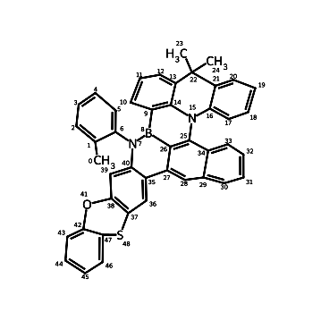 Cc1ccccc1N1B2c3cccc4c3N(c3ccccc3C4(C)C)c3c2c(cc2ccccc32)-c2cc3c(cc21)Oc1ccccc1S3